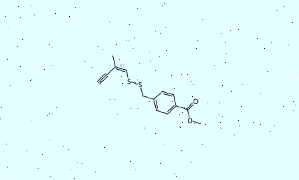 C#C/C(C)=C\SSCc1ccc(C(=O)OC)cc1